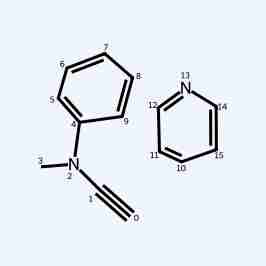 C#CN(C)c1ccccc1.c1ccncc1